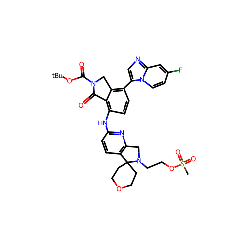 CC(C)(C)OC(=O)N1Cc2c(-c3cnc4cc(F)ccn34)ccc(Nc3ccc4c(n3)CN(CCOS(C)(=O)=O)C43CCOCC3)c2C1=O